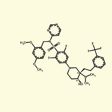 COc1ccc(CN(c2ccncn2)S(=O)(=O)c2c(F)cc(N3CC[C@H](O)[C@@](CCc4cccc(C(F)(F)F)c4)(N(C)C)C3)cc2F)c(OC)c1